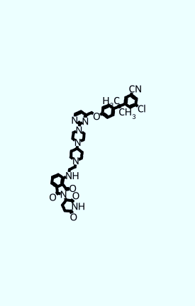 CC(C)(c1ccc(OCc2ccnc(N3CCN(C4CCN(CCNc5cccc6c5C(=O)N(C5CCC(=O)NC5=O)C6=O)CC4)CC3)n2)cc1)c1cc(Cl)cc(C#N)c1